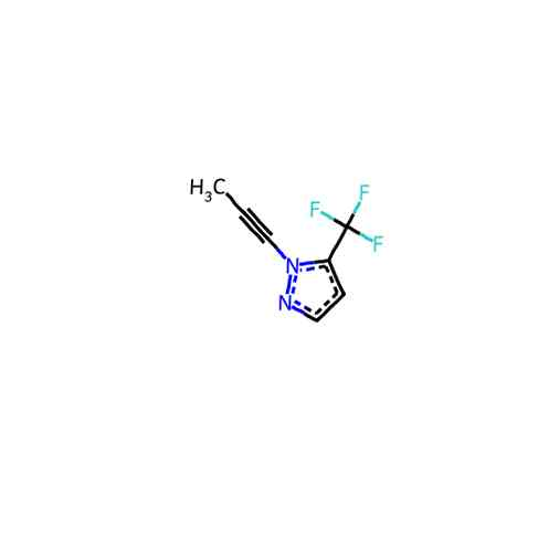 CC#Cn1nccc1C(F)(F)F